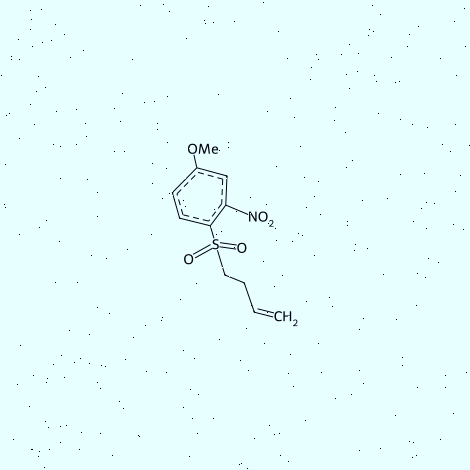 C=CCCS(=O)(=O)c1ccc(OC)cc1[N+](=O)[O-]